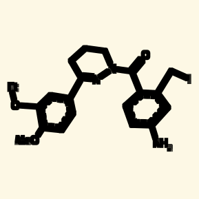 CCOc1cc(C2=NN(C(=O)c3ccc(N)cc3CI)CCC2)ccc1OC